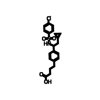 O=C(O)CCCc1ccc(C(CC2CC2)NS(=O)(=O)c2ccc(Cl)cc2)cc1